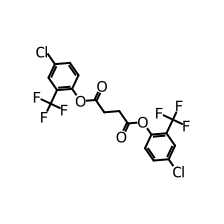 O=C(CCC(=O)Oc1ccc(Cl)cc1C(F)(F)F)Oc1ccc(Cl)cc1C(F)(F)F